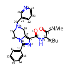 CNC(=O)C(NC(=O)c1nc(-c2ccccc2)n2c1CN(Cc1cccnc1)CC2)C(C)(C)C